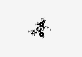 C[C@@H](OC1OCCN(Cc2nc[nH]n2)C1c1ccc(F)cc1)c1cc(C(F)(F)F)cc(C(F)(F)F)c1